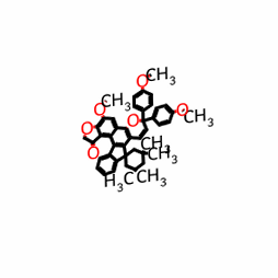 COc1ccc(C2(c3ccc(OC)cc3)C=Cc3c4c(c5c6c(c(OC)cc5c3O2)OCC6=O)-c2ccccc2C42CC(C)(C)CC(C)(C)C2)cc1